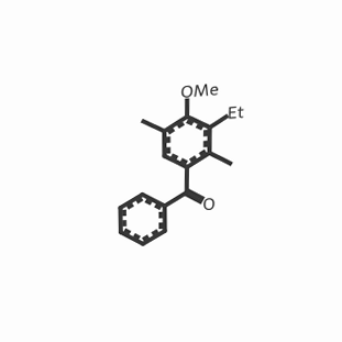 CCc1c(C)c(C(=O)c2ccccc2)cc(C)c1OC